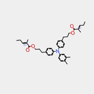 CC/C=C(\C)C(=O)OCCCc1ccc(N(c2ccc(CCCOC(=O)/C(C)=C/CC)cc2)c2ccc(C)c(C)c2)cc1